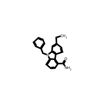 CCc1c[c]c2c3c(C(N)=O)cccc3n(Cc3ccccc3)c2c1